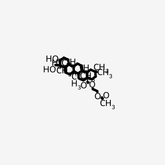 CC(=O)OCCOC(=O)[C@]12CCC(C)(C)C[C@@H]1C1=CC[C@@H]3[C@@]4(C)CC[C@H](O)[C@@](C)(CO)C4CC[C@@]3(C)[C@]1(C)CC2